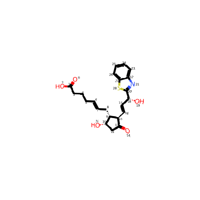 O=C(O)CCCC=CC[C@H]1[C@@H](O)CC(=O)[C@@H]1C=C[C@@H](O)c1nc2ccccc2s1